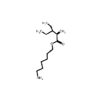 C=C(C(=O)OCCCCCCN)C(CC)CC